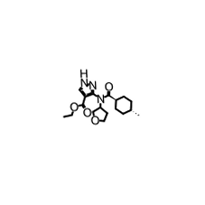 CCOC(=O)c1c[nH]nc1N(C(=O)[C@H]1CC[C@H](C)CC1)C1CCOC1